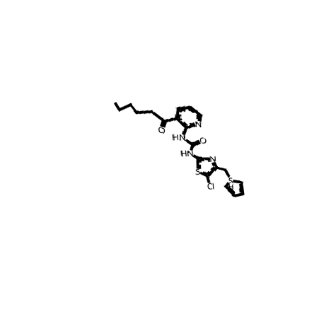 CCCCCC(=O)c1cccnc1NC(=O)Nc1nc(C[SH]2C=CC=C2)c(Cl)s1